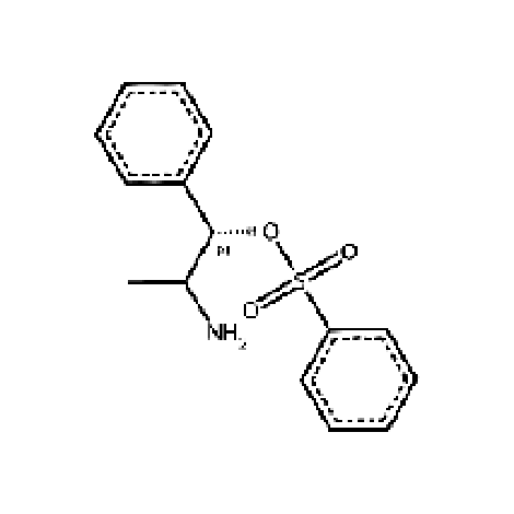 CC(N)[C@@H](OS(=O)(=O)c1ccccc1)c1ccccc1